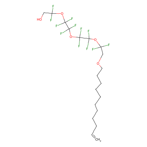 C=CCCCCCCCCCOCC(F)(F)OC(F)(F)C(F)(F)OC(F)(F)C(F)(F)OC(F)(F)CO